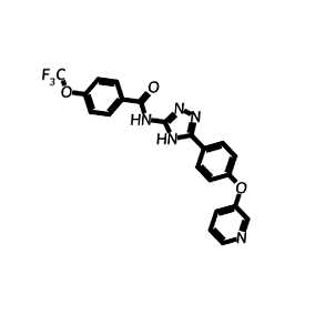 O=C(Nc1nnc(-c2ccc(Oc3cccnc3)cc2)[nH]1)c1ccc(OC(F)(F)F)cc1